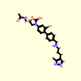 CC(=O)NC[C@H]1CN(c2ccc(-c3ccc(CNCCCc4cn[nH]c4C)cc3)c(F)c2)C(=O)O1